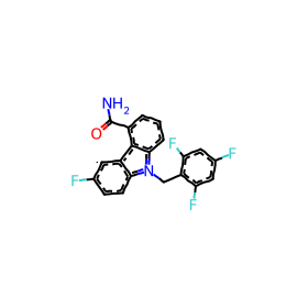 NC(=O)c1cccc2c1c1[c]c(F)ccc1n2Cc1c(F)cc(F)cc1F